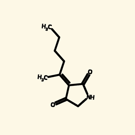 CCCC/C(C)=C1/C(=O)CNC1=O